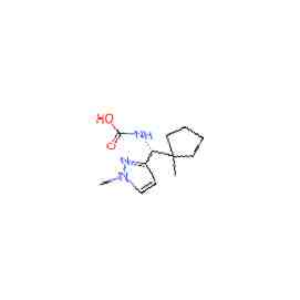 Cn1ccc([C@H](NC(=O)O)C2(C)CCCC2)n1